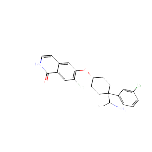 CCC(N)[C@]1(c2cccc(Br)c2)CC[C@H](Oc2cc3cc[nH]c(=O)c3cc2Cl)CC1